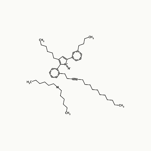 CCCCCCCCCCCC#CCCc1ccccc1C1=C(CCCCCC)C=C(c2cccc(CCCC)c2)[N+]1=[N-].CCCCC[CH2][Ni][CH2]CCCCC